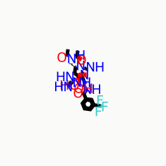 CC(=O)N(C[C@@H]1NC(=N)N2CC(NC(=O)c3cccc(C(F)(F)F)c3)C(O)(O)C23NC(=N)NC13)C(C)=O